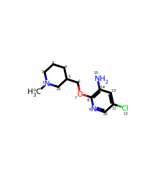 CN1CCCC(COc2ncc(Cl)cc2N)C1